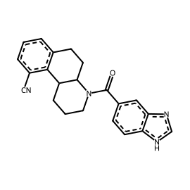 N#Cc1cccc2c1C1CCCN(C(=O)c3ccc4[nH]cnc4c3)C1CC2